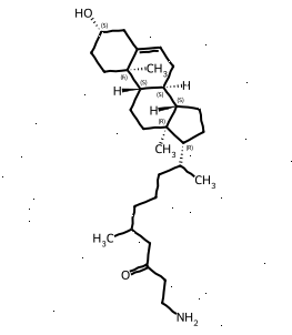 CC(CCCC(C)[C@H]1CC[C@H]2[C@@H]3CC=C4C[C@@H](O)CC[C@]4(C)[C@H]3CC[C@]12C)CC(=O)CCN